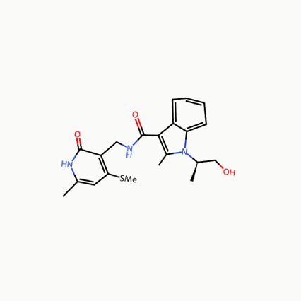 CSc1cc(C)[nH]c(=O)c1CNC(=O)c1c(C)n([C@H](C)CO)c2ccccc12